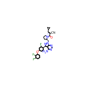 N#C/C(=C\C1CC1)C(=O)N1CCC[C@@H]1Cn1nc(-c2ccc(Oc3cccc(F)c3F)cc2F)c2c(N)ncnc21